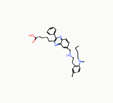 CCCCN(C)c1ccc(C)cc1CCNCc1ccc2nc(-c3ccccc3)c(CCCCC(=O)O)nc2c1